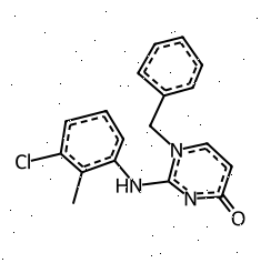 Cc1c(Cl)cccc1Nc1nc(=O)ccn1Cc1ccccc1